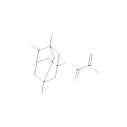 C=C(C)C(=O)OC12CC3CC(C)(C1)CC(C)(C2)C3=O